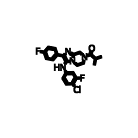 CC(C)C(=O)N1CCn2c(nc(-c3ccc(F)cc3)c2Nc2ccc(Cl)c(F)c2)C1